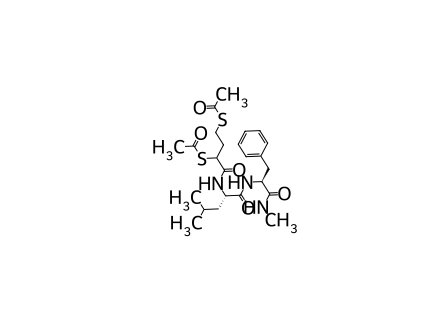 CNC(=O)[C@H](Cc1ccccc1)NC(=O)[C@H](CC(C)C)NC(=O)C(CCSC(C)=O)SC(C)=O